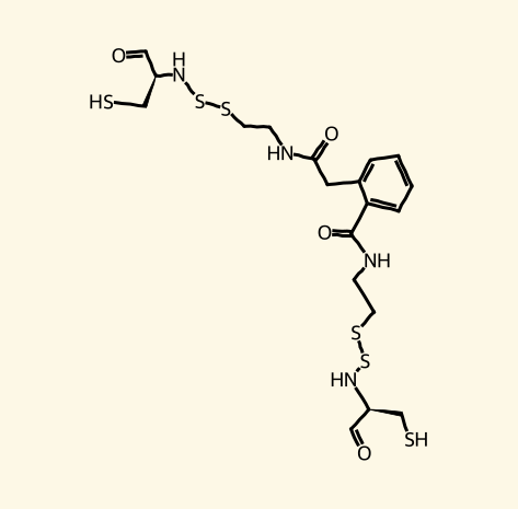 O=C[C@H](CS)NSSCCNC(=O)Cc1ccccc1C(=O)NCCSSN[C@H](C=O)CS